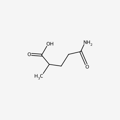 CC(CCC(N)=O)C(=O)O